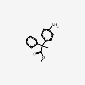 COC(=O)C(C)(c1ccccc1)c1ccc(N)cc1